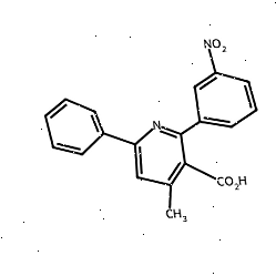 Cc1cc(-c2ccccc2)nc(-c2cccc([N+](=O)[O-])c2)c1C(=O)O